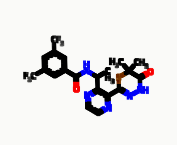 CC(NC(=O)c1cc(C(F)(F)F)cc(C(F)(F)F)c1)c1nccnc1C1=NNC(=O)C(C)(C)S1